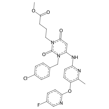 COC(=O)CCCn1c(=O)cc(Nc2ccc(Oc3ccc(F)cn3)c(C)n2)n(Cc2ccc(Cl)cc2)c1=O